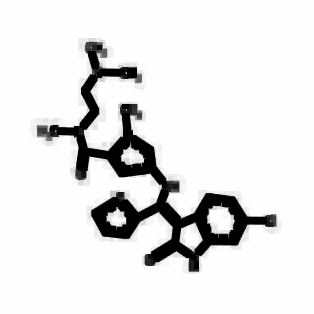 CN(C)CCN(C)C(=O)c1cc(NC(=C2C(=O)Nc3cc(Cl)ccc32)c2cccs2)cn1C